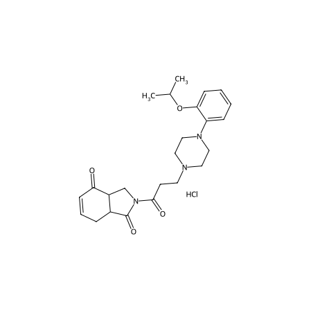 CC(C)Oc1ccccc1N1CCN(CCC(=O)N2CC3C(=O)C=CCC3C2=O)CC1.Cl